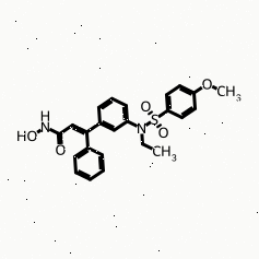 CCN(c1cccc(C(=CC(=O)NO)c2ccccc2)c1)S(=O)(=O)c1ccc(OC)cc1